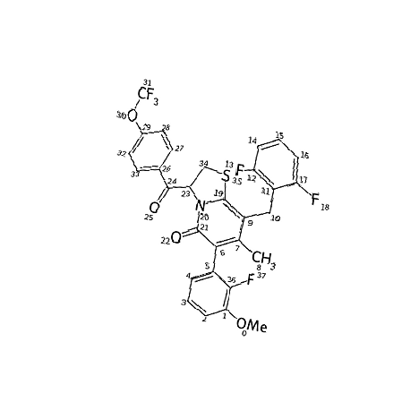 COc1cccc(-c2c(C)c(Cc3c(F)cccc3F)c3n(c2=O)C(C(=O)c2ccc(OC(F)(F)F)cc2)CS3)c1F